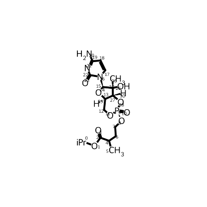 CC(C)OC(=O)C(C)CCO[P@]1(=O)OC[C@H]2O[C@@H](n3ccc(N)nc3=O)[C@](C)(O)[C@@H]2O1